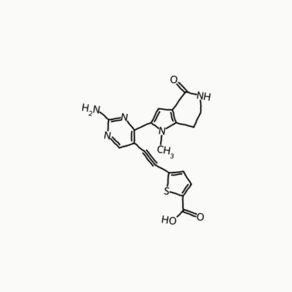 Cn1c(-c2nc(N)ncc2C#Cc2ccc(C(=O)O)s2)cc2c1CCNC2=O